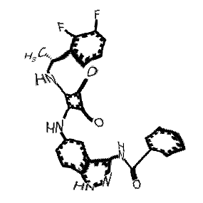 C[C@@H](Nc1c(Nc2ccc3[nH]nc(NC(=O)c4ccccc4)c3c2)c(=O)c1=O)c1cccc(F)c1F